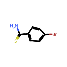 NC(=S)c1ccc(Br)cc1